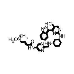 CN(C)C/C=C/C(=O)Nc1cnc(CN[C@H]2CCC[C@@H](Nc3ncc(Cl)c(-c4[nH]nc5ccccc45)n3)C2)nc1